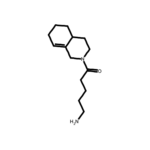 NCCCCC(=O)N1CCC2CCCC=C2C1